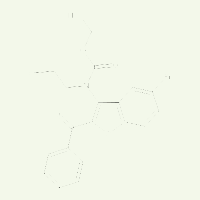 CCOC(=O)N(CCCl)c1c(C(=O)c2ccccc2)oc2ccc(Br)cc12